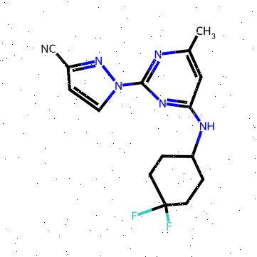 Cc1cc(NC2CCC(F)(F)CC2)nc(-n2ccc(C#N)n2)n1